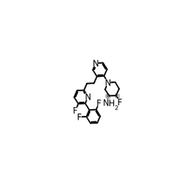 N[C@@H]1CN(c2ccncc2CCc2ccc(F)c(-c3c(F)cccc3F)n2)CC[C@H]1F